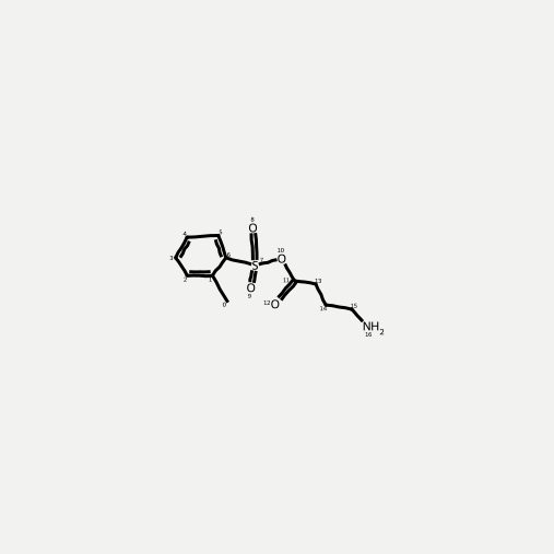 Cc1ccccc1S(=O)(=O)OC(=O)CCCN